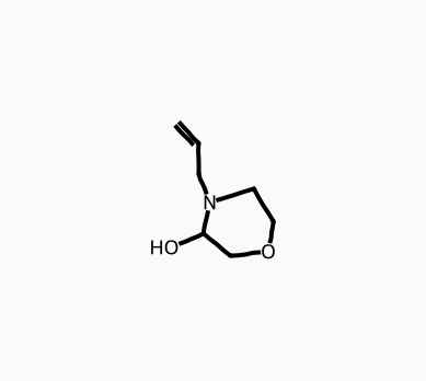 C=CCN1CCOCC1O